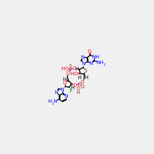 Nc1nc2c(ncn2[C@@H]2S[C@@H]3COP(=O)(O)O[C@H]4[C@H](F)[C@H](n5cnc6c(N)ccnc65)O[C@@H]4COP(O)(=S)O[C@@H]2[C@@H]3O)c(=O)[nH]1